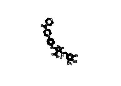 CCc1cc(CNc2[nH]nc(Nc3ccc(N4CCN(C(=O)N5CCOCC5)CC4)cc3)c2C(N)=O)cc(C)c1O